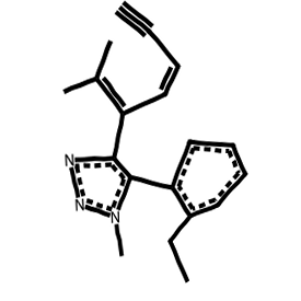 C#C/C=C\C(=C(C)C)c1nnn(C)c1-c1ccccc1CC